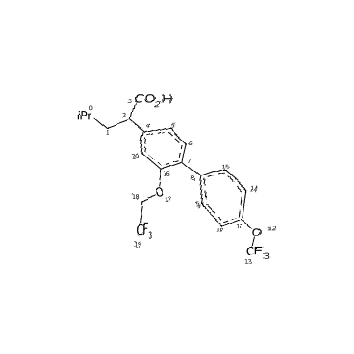 CC(C)CC(C(=O)O)c1ccc(-c2ccc(OC(F)(F)F)cc2)c(OCC(F)(F)F)c1